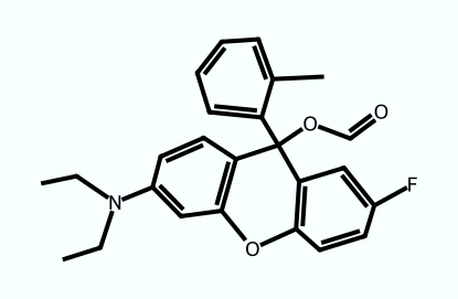 CCN(CC)c1ccc2c(c1)Oc1ccc(F)cc1C2(OC=O)c1ccccc1C